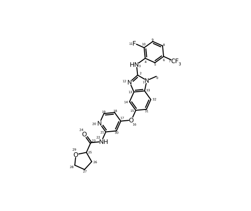 Cn1c(Nc2cc(C(F)(F)F)ccc2F)nc2cc(Oc3ccnc(NC(=O)C4CCCO4)c3)ccc21